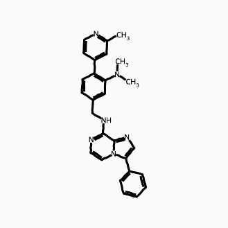 Cc1cc(-c2ccc(CNc3nccn4c(-c5ccccc5)cnc34)cc2N(C)C)ccn1